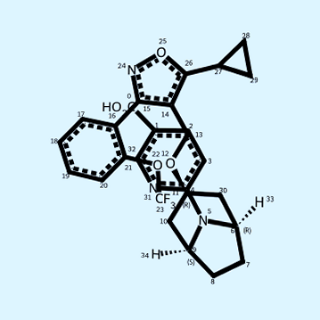 O=C(O)c1ccc(N2[C@@H]3CC[C@H]2C[C@@H](OCc2c(-c4ccccc4OC(F)(F)F)noc2C2CC2)C3)nc1